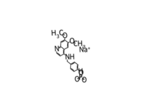 COc1cc2nccc(NCc3ccc(O[PH](=O)[O-])cc3)c2cc1OC.[Na+]